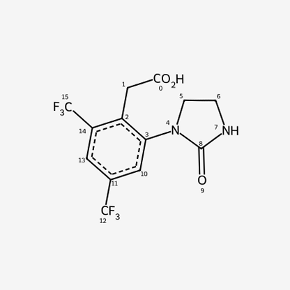 O=C(O)Cc1c(N2CCNC2=O)cc(C(F)(F)F)cc1C(F)(F)F